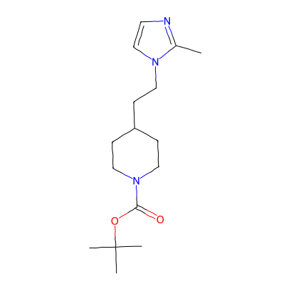 Cc1nccn1CCC1CCN(C(=O)OC(C)(C)C)CC1